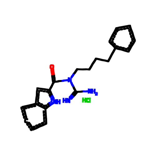 Cl.N=C(N)N(CCCCc1ccccc1)C(=O)c1cc2ccccc2[nH]1